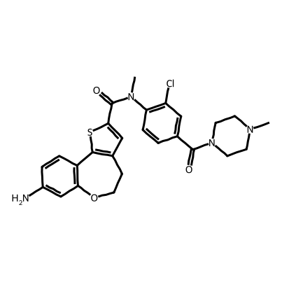 CN1CCN(C(=O)c2ccc(N(C)C(=O)c3cc4c(s3)-c3ccc(N)cc3OCC4)c(Cl)c2)CC1